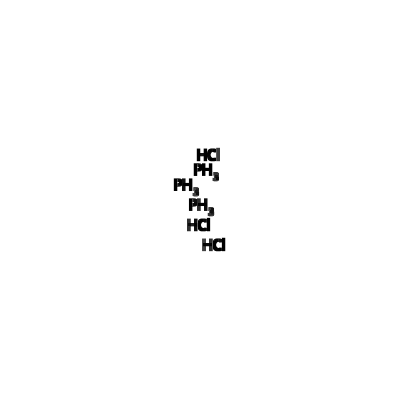 Cl.Cl.Cl.P.P.P